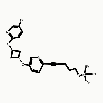 CC(C)[Si](OCCCC#Cc1ccc(O[C@H]2C[C@H](Oc3ccc(Br)cn3)C2)cn1)(C(C)C)C(C)C